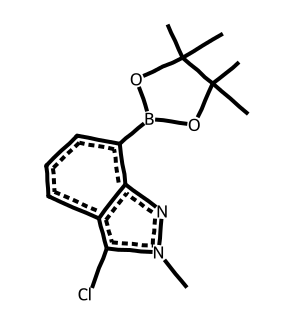 Cn1nc2c(B3OC(C)(C)C(C)(C)O3)cccc2c1Cl